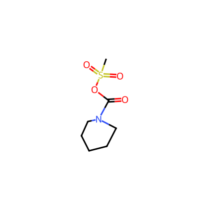 CS(=O)(=O)OC(=O)N1CCCCC1